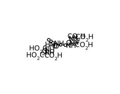 O=C(O)CCC(NC(=O)N[C@@H](CCCCNC(=O)[C@H](Cc1ccc2ccccc2c1)NC(=O)c1ccc(-c2ccc(NC(=O)CN3CCN(CC(=O)O)CCN(CC(=O)O)CCN(CC(=O)O)CC3)cc2)cc1)C(=O)O)C(=O)O